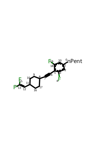 CCCCCc1cc(F)c(C#CC2CCC(C=C(F)F)CC2)c(F)c1